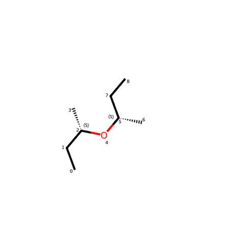 CC[C@H](C)O[C@@H](C)CC